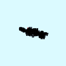 CC(C)OC(=O)C1(C(=O)OC(C)C)CC2(CC(C3=CCC4(C)C(CCC5(C)C6CCC7(NCCN8CC[S+]([O-])CC8)CCC[C@@H]7C6CCC54)C3(C)C)C2)C1